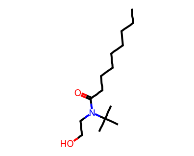 CCCCCCCCC(=O)N(CCO)C(C)(C)C